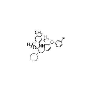 Cc1cc(C)c(NC(=O)N(Cc2ccc(Oc3cccc(F)c3)cc2)C2CCCCCC2)c(C)c1